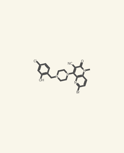 Cn1c(=O)c(C#N)c(N2CCN(Cc3ccc(Cl)cc3O)CC2)c2nc(Br)ccc21